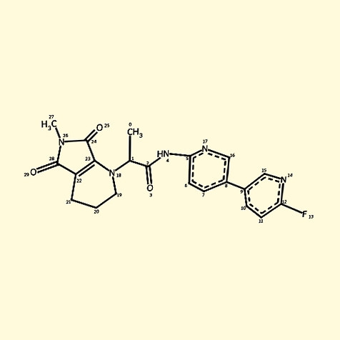 CC(C(=O)Nc1ccc(-c2ccc(F)nc2)cn1)N1CCCC2=C1C(=O)N(C)C2=O